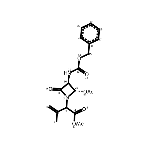 C=C(C)C(C(=O)OC)N1C(=O)[C@@H](NC(=O)OCc2ccccc2)[C@@H]1OC(C)=O